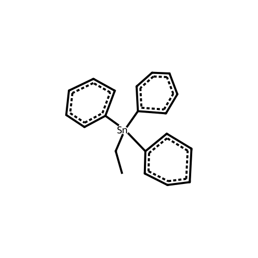 C[CH2][Sn]([c]1ccccc1)([c]1ccccc1)[c]1ccccc1